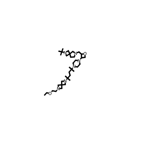 CCOCCN1CC2(C1)CN(C(C)(C)CCC(C)(C)N1CCN(C3COC3CN3CCC4(C3)CN(C(C)(C)C)C4)CC1)C2